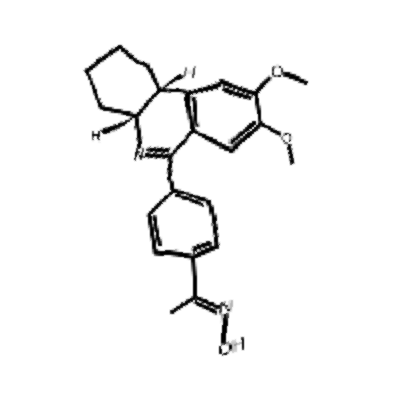 COc1cc2c(cc1OC)[C@H]1CCCC[C@H]1N=C2c1ccc(C(C)=NO)cc1